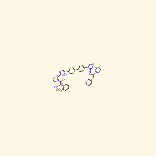 O=C(O)N[C@@H](C(=O)N1CCC[C@H]1c1ncc(-c2ccc(-c3ccc(-c4cnc([C@@H]5CCCN5C(=O)Cc5ccccc5)[nH]4)cc3)cc2)[nH]1)c1ccccc1